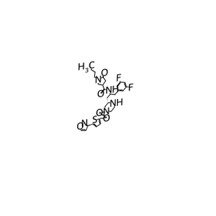 CCCCN1CC(C(=O)NC(Cc2cc(F)cc(F)c2)C[C@H]2CN(S(=O)(=O)c3ccc(-c4ccon4)s3)CCN2)CC1=O